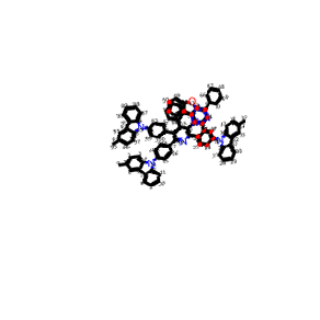 Cc1ccc2c(c1)c1ccccc1n2-c1ccc(-c2nc(-c3ccc(-n4c5ccccc5c5cc(C)ccc54)cc3)c(-c3cccc4oc5ccccc5c34)c(-c3ccccc3-c3nc(-c4ccccc4)nc(-c4ccccc4)n3)c2-c2ccc(-n3c4ccccc4c4cc(C)ccc43)cc2)cc1